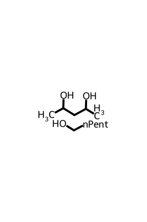 CC(O)CC(C)O.CCCCCCO